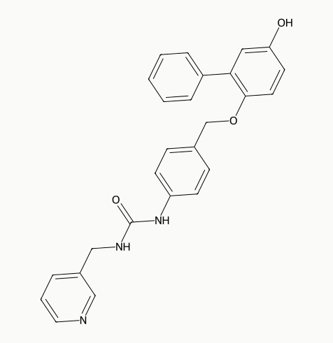 O=C(NCc1cccnc1)Nc1ccc(COc2ccc(O)cc2-c2ccccc2)cc1